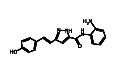 Nc1ccccc1NC(=O)c1cc(C=Cc2ccc(O)cc2)n[nH]1